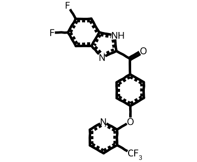 O=C(c1ccc(Oc2ncccc2C(F)(F)F)cc1)c1nc2cc(F)c(F)cc2[nH]1